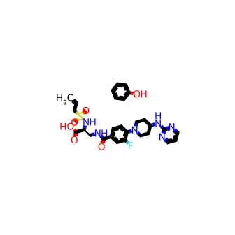 C=CCS(=O)(=O)N[C@@H](CNC(=O)c1ccc(N2CCC(Nc3ncccn3)CC2)c(F)c1)C(=O)O.Oc1ccccc1